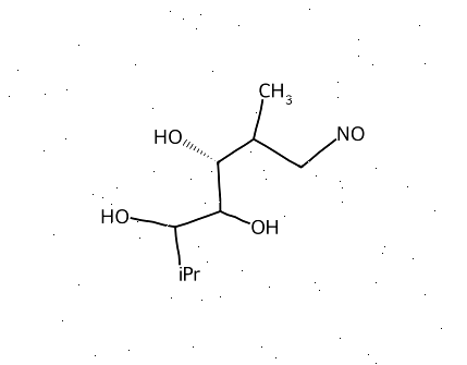 CC(C)C(O)C(O)[C@H](O)C(C)CN=O